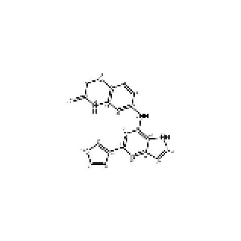 O=C1CSc2ccc(Nc3nc(-c4ccsc4)nc4cn[nH]c34)cc2N1